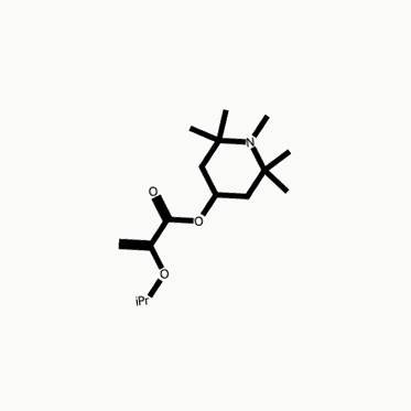 C=C(OC(C)C)C(=O)OC1CC(C)(C)N(C)C(C)(C)C1